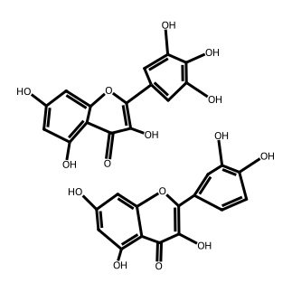 O=c1c(O)c(-c2cc(O)c(O)c(O)c2)oc2cc(O)cc(O)c12.O=c1c(O)c(-c2ccc(O)c(O)c2)oc2cc(O)cc(O)c12